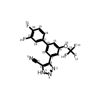 N#Cc1[nH]nnc1-c1cc(OC(F)(F)F)cc(-c2ccc(F)c(F)c2)c1